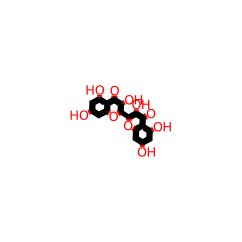 O=c1c(O)c(-c2oc3cc(O)cc(O)c3c(=O)c2O)oc2cc(O)cc(O)c12